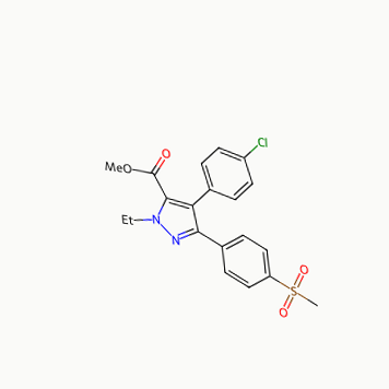 CCn1nc(-c2ccc(S(C)(=O)=O)cc2)c(-c2ccc(Cl)cc2)c1C(=O)OC